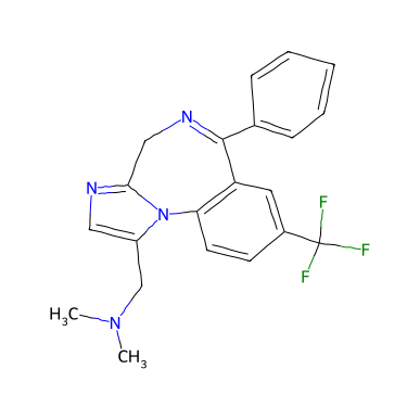 CN(C)Cc1cnc2n1-c1ccc(C(F)(F)F)cc1C(c1ccccc1)=NC2